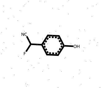 N#CC(F)c1ccc(O)cc1